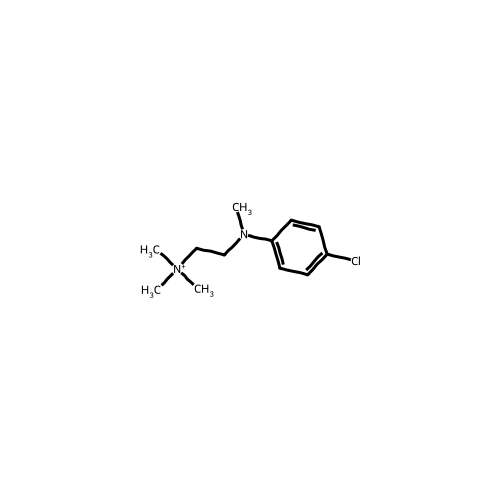 CN(CC[N+](C)(C)C)c1ccc(Cl)cc1